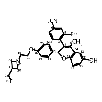 CC1=C(c2ccc(C#N)cc2F)[C@@H](c2ccc(OCCN3CC(CF)C3)cc2)Oc2ccc(O)cc21